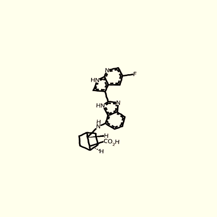 O=C(O)[C@H]1C2CCC(CC2)[C@@H]1Nc1cccc2nc(-c3c[nH]c4ncc(F)cc34)[nH]c12